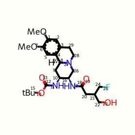 COc1cc2c(cc1OC)[C@@H]1C[C@H](NC(=O)OC(C)(C)C)[C@H](NC(=O)CC(CO)CF)CN1CC2